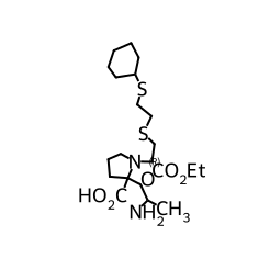 CCOC(=O)[C@H](CSCCSC1CCCCC1)N1CCCC1(C(=O)O)C(=O)C(C)N